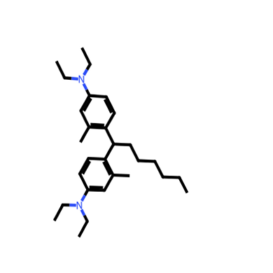 CCCCCCC(c1ccc(N(CC)CC)cc1C)c1ccc(N(CC)CC)cc1C